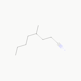 CCCC[C](C)CCC#N